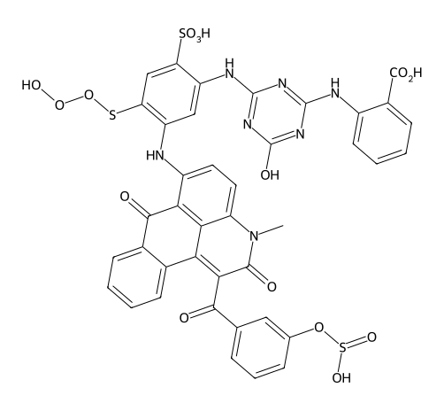 Cn1c(=O)c(C(=O)c2cccc(OS(=O)O)c2)c2c3c(c(Nc4cc(Nc5nc(O)nc(Nc6ccccc6C(=O)O)n5)c(S(=O)(=O)O)cc4SOOO)ccc31)C(=O)c1ccccc1-2